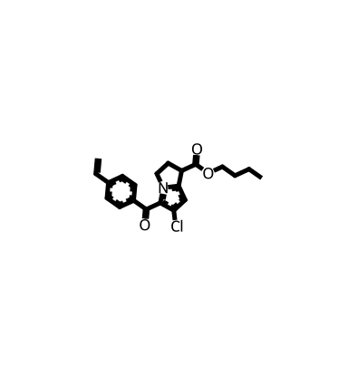 C=Cc1ccc(C(=O)c2c(Cl)cc3n2CCC3C(=O)OCCCC)cc1